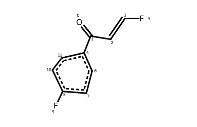 O=C(C=CF)c1ccc(F)cc1